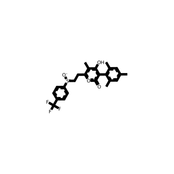 Cc1cc(C)c(-c2c(O)c(C)c(CC[S+]([O-])c3ccc(C(F)(F)F)cc3)oc2=O)c(C)c1